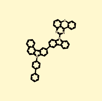 c1ccc(-c2ccc(-n3c4ccc(-c5ccc6c(c5)c5ccccc5n6-c5nc6c7c(cccc7n5)Sc5ccccc5-6)cc4c4c5ccccc5ccc43)cc2)cc1